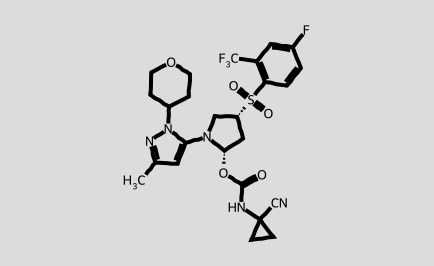 Cc1cc(N2C[C@H](S(=O)(=O)c3ccc(F)cc3C(F)(F)F)C[C@@H]2OC(=O)NC2(C#N)CC2)n(C2CCOCC2)n1